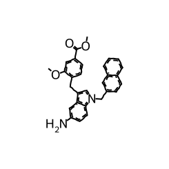 COC(=O)c1ccc(Cc2cn(Cc3ccc4ccccc4c3)c3ccc(N)cc23)c(OC)c1